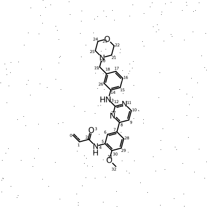 C=CC(=O)Nc1cc(-c2ccnc(Nc3cccc(CN4CCOCC4)c3)n2)ccc1OC